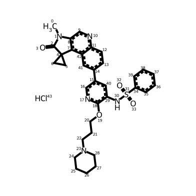 CN1C(=O)C2(CC2)c2c1cnc1ccc(-c3cnc(OCCCN4CCCCC4)c(NS(=O)(=O)c4ccccc4)c3)cc21.Cl